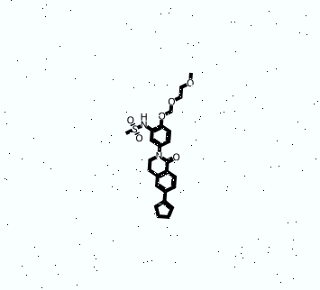 COCCOCOc1ccc(N2CCc3cc(C4=CCCC4)ccc3C2=O)cc1NS(C)(=O)=O